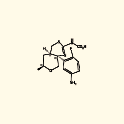 C[C@H]1C[C@H]2CSC(NC(=O)O)=N[C@@]2(c2cc(N)ccc2F)CO1